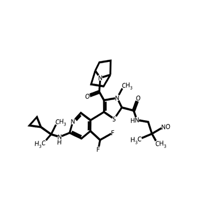 CN1C(C(=O)N2C3CCC2CC3)=C(c2cnc(NC(C)(C)C3CC3)cc2C(F)F)SC1C(=O)NCC(C)(C)N=O